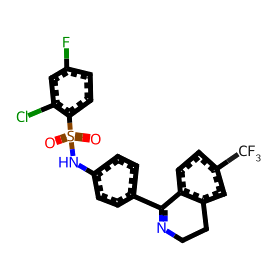 O=S(=O)(Nc1ccc(C2=NCCc3cc(C(F)(F)F)ccc32)cc1)c1ccc(F)cc1Cl